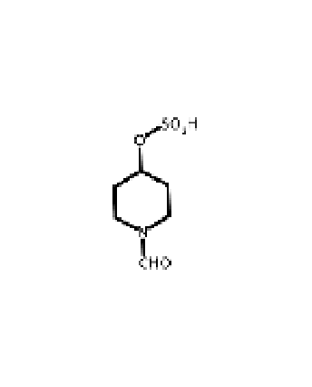 O=[C]N1CCC(OS(=O)(=O)O)CC1